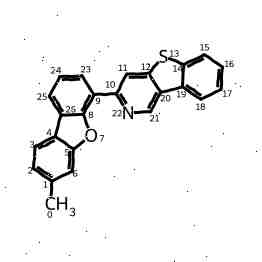 Cc1ccc2c(c1)oc1c(-c3cc4sc5ccccc5c4cn3)cccc12